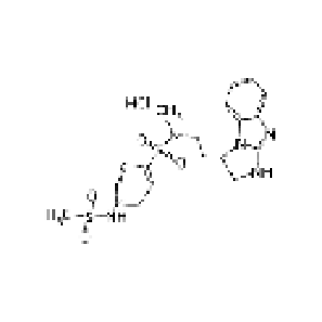 CN(CCC1CNc2nc3ccccc3n21)S(=O)(=O)c1ccc(NS(C)(=O)=O)cc1.Cl